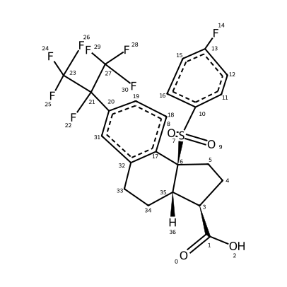 O=C(O)[C@@H]1CC[C@@]2(S(=O)(=O)c3ccc(F)cc3)c3ccc(C(F)(C(F)(F)F)C(F)(F)F)cc3CC[C@@H]12